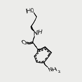 Nc1ccc(C(=O)NCCO)cc1